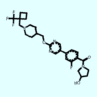 O=C(c1ccc(-c2cnc(OCC3CCN(CC4(C(F)(F)F)CCC4)CC3)nc2)cc1F)N1CCC(O)C1